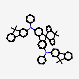 CC1(C)c2ccccc2-c2ccc(N(c3ccccc3)c3ccc4c(c3)-c3ccc(N(c5ccccc5)c5ccc6c(c5)C(C)(C)c5ccccc5-6)cc3C43c4ccccc4C(C)(C)c4ccccc43)cc21